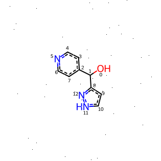 OC(c1ccncc1)c1cc[nH]n1